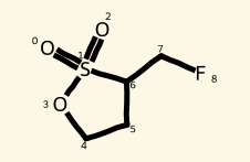 O=S1(=O)OCCC1CF